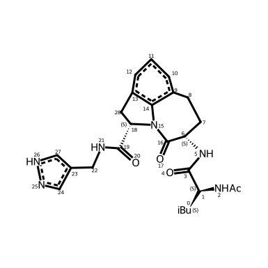 CC[C@H](C)[C@H](NC(C)=O)C(=O)N[C@H]1CCc2cccc3c2N(C1=O)[C@H](C(=O)NCc1cn[nH]c1)C3